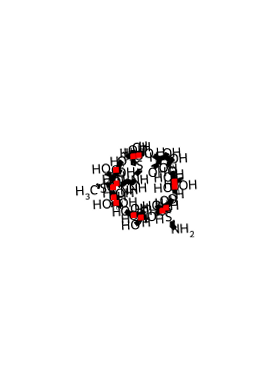 CCSCCNC(=N)CC(=N)NCCSCC1O[C@@H]2O[C@@H]3C(CO)O[C@@H](O[C@@H]4C(CO)O[C@@H](O[C@@H]5C(CSCCN)O[C@@H](O[C@@H]6C(CO)O[C@H](O[C@@H]7C(CO)O[C@H](O[C@@H]8C(CO)O[C@@H](O[C@H]1[C@H](O)C2O)C(O)[C@H]8O)C(O)[C@H]7O)C(O)[C@H]6O)C(O)[C@H]5O)C(O)[C@H]4O)C(O)[C@H]3O